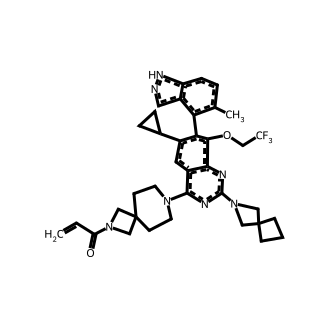 C=CC(=O)N1CC2(CCN(c3nc(N4CC5(CCC5)C4)nc4c(OCC(F)(F)F)c(-c5c(C)ccc6[nH]ncc56)c(C5CC5)cc34)CC2)C1